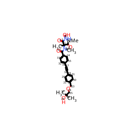 CNC(=O)C(C)(C(=O)NO)N(C)C(=O)c1ccc(C#Cc2ccc(COCC(C)(C)O)cc2)cc1